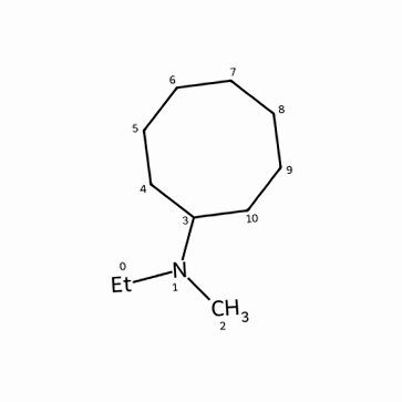 CCN(C)C1CCCCCCC1